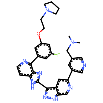 CN(C)Cc1cncc(-c2cc3c(-c4nc5c(-c6cc(F)cc(OCCN7CCCC7)c6)nccc5[nH]4)n[nH]c3cn2)c1